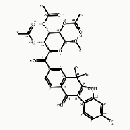 CO[C@H]1O[C@@H](C(=O)c2ccc3c(c2)C(C)(C)c2[nH]c4cc(Br)ccc4c2C3=O)[C@H](OC(C)=O)[C@H](OC(C)=O)[C@H]1OC(C)=O